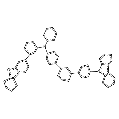 c1ccc(N(c2ccc(-c3cccc(-c4ccc(-n5c6ccccc6c6ccccc65)cc4)c3)cc2)c2cccc(-c3ccc4c(c3)oc3ccccc34)c2)cc1